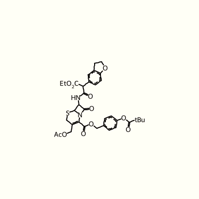 CCOC(=O)C(C(=O)NC1C(=O)N2C(C(=O)OCc3ccc(OC(=O)C(C)(C)C)cc3)=C(COC(C)=O)CSC12)c1ccc2c(c1)CCO2